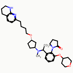 CN(C(C(=O)O)c1cccc(OC2CCOCC2)c1N1CCCC1=O)[C@H]1CC[C@H](OCCCCc2ccc3c(n2)NCCC3)C1